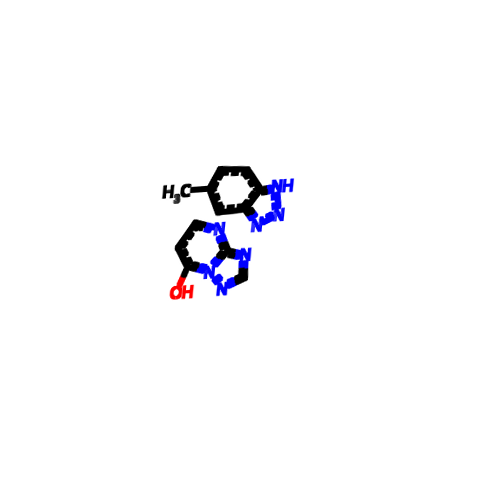 Cc1ccc2[nH]nnc2c1.Oc1ccnc2ncnn12